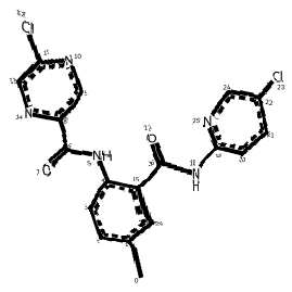 Cc1ccc(NC(=O)c2cnc(Cl)cn2)c(C(=O)Nc2ccc(Cl)cn2)c1